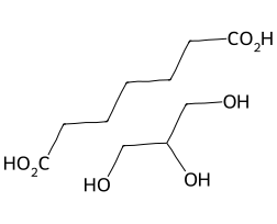 O=C(O)CCCCCC(=O)O.OCC(O)CO